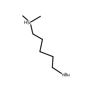 CCCCCCCCC[SiH](C)C